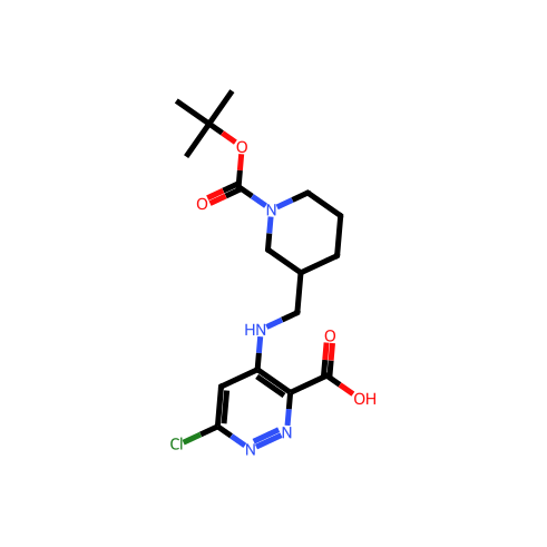 CC(C)(C)OC(=O)N1CCCC(CNc2cc(Cl)nnc2C(=O)O)C1